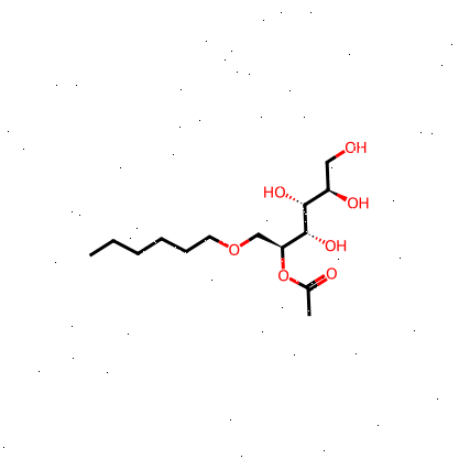 CCCCCCOC[C@H](OC(C)=O)[C@@H](O)[C@H](O)[C@H](O)CO